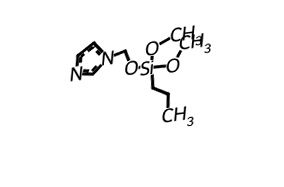 CCC[Si](OC)(OC)OCn1ccnc1